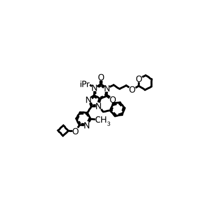 Cc1nc(OC2CCC2)ccc1-c1nc2c(c(=O)n(CCCOC3CCCCO3)c(=O)n2C(C)C)n1Cc1ccccc1